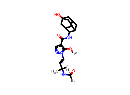 CCCOc1c(C(=O)NC2C3CC4CC2CC(O)(C4)C3)cnn1/C=C/C(C)(C)NC(=O)CC